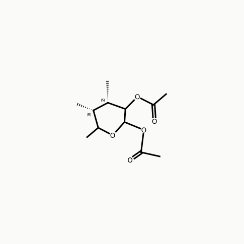 CC(=O)OC1OC(C)[C@H](C)[C@H](C)C1OC(C)=O